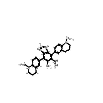 CCCCCN1CCCc2cc(-c3c(NS)c(N)c(-c4ccc5c(c4)CCCN5CCCCC)c4[nH]nnc34)ccc21